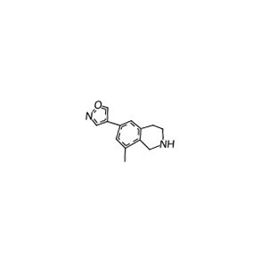 Cc1cc(-c2cnoc2)cc2c1CNCC2